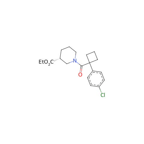 CCOC(=O)[C@@H]1CCCN(C(=O)C2(c3ccc(Cl)cc3)CCC2)C1